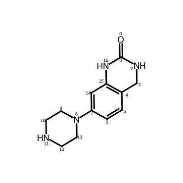 O=C1NCc2ccc(N3CCNCC3)cc2N1